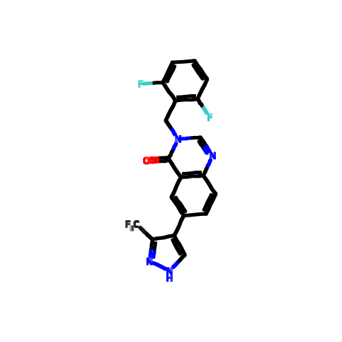 O=c1c2cc(-c3c[nH]nc3C(F)(F)F)ccc2ncn1Cc1c(F)cccc1F